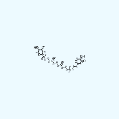 CC(C)(CC=Cc1cc(=O)c(O)co1)CCC[S+]([O-])CCC[S+]([O-])CCCC(C)(C)c1cc(=O)c(O)co1